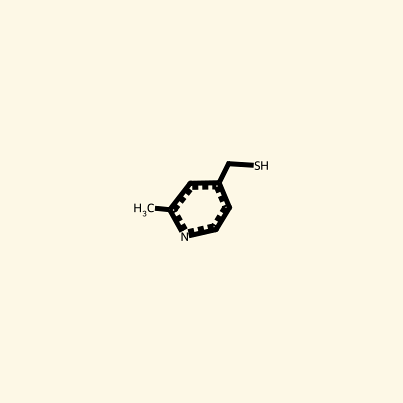 Cc1cc(CS)ccn1